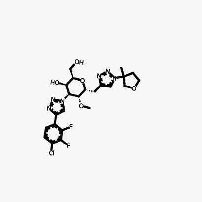 CO[C@@H]1[C@@H](n2cc(-c3ccc(Cl)c(F)c3F)nn2)[C@@H](O)[C@@H](CO)O[C@@H]1Cc1cn(C2(C)CCOC2)nn1